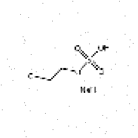 O=S(=O)(O)OCCCl.[NaH]